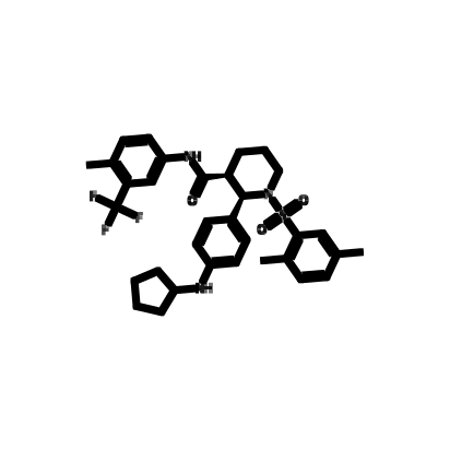 Cc1ccc(C)c(S(=O)(=O)N2CCC[C@H](C(=O)Nc3ccc(C)c(C(F)(F)F)c3)[C@@H]2c2ccc(NC3CCCC3)cc2)c1